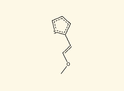 COC=Cc1cccs1